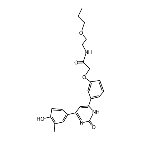 CCCOCCNC(=O)COc1cccc(-c2cc(-c3ccc(O)c(C)c3)nc(=O)[nH]2)c1